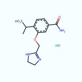 CC(c1ccc(C(N)=O)cc1OCC1=NCCN1)S(=O)(=O)O.Cl